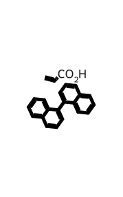 C=CC(=O)O.c1ccc2c(-c3cccc4ccccc34)cccc2c1